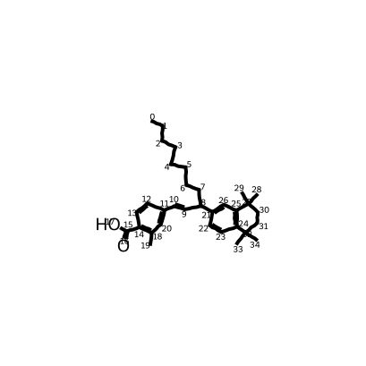 CCCCCCCCC(C=Cc1ccc(C(=O)O)c(C)c1)c1ccc2c(c1)C(C)(C)CCC2(C)C